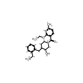 CCOc1nc(C)ccc1C(=O)N1CCC(Cc2ccccc2CN)[C@H](O)C1